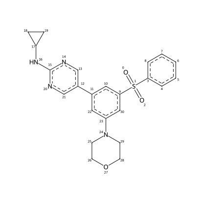 O=S(=O)(c1ccccc1)c1cc(-c2cnc(NC3CC3)nc2)cc(N2CCOCC2)c1